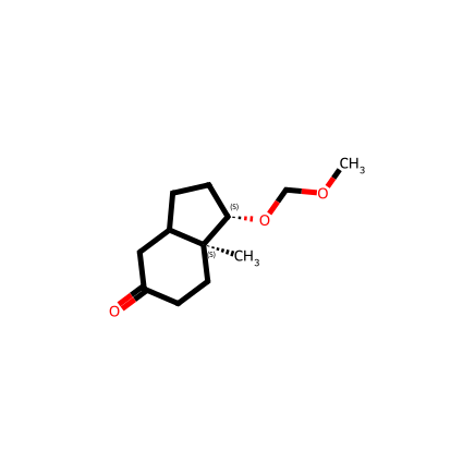 COCO[C@H]1CCC2CC(=O)CC[C@@]21C